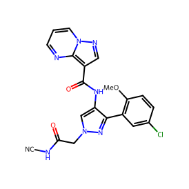 COc1ccc(Cl)cc1-c1nn(CC(=O)NC#N)cc1NC(=O)c1cnn2cccnc12